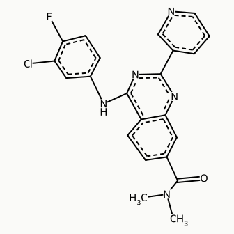 CN(C)C(=O)c1ccc2c(Nc3ccc(F)c(Cl)c3)nc(-c3cccnc3)nc2c1